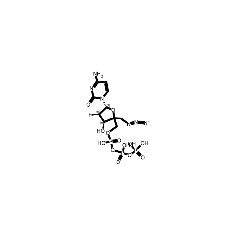 [N-]=[N+]=NCC1(COP(=O)(O)OP(=O)(O)OP(=O)(O)O)O[C@@H](n2ccc(N)nc2=O)[C@H](F)[C@@H]1O